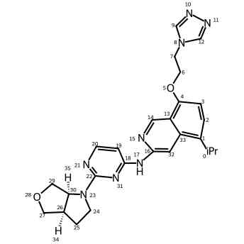 CC(C)c1ccc(OCCn2cnnc2)c2cnc(Nc3ccnc(N4CC[C@H]5COC[C@H]54)n3)cc12